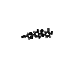 CCCC1COC(c2cc(F)c(C(=O)Oc3ccc(F)c(F)c3)c(F)c2)OC1